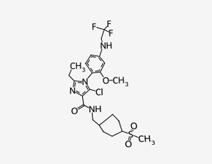 CCc1nc(C(=O)NCC2CCC(S(C)(=O)=O)CC2)c(Cl)n1-c1ccc(NCC(F)(F)F)cc1OC